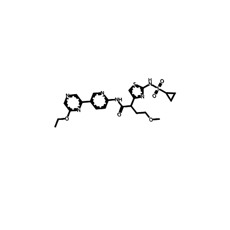 CCOc1cncc(-c2ccc(NC(=O)C(CCOC)c3csc(NS(=O)(=O)C4CC4)n3)nc2)n1